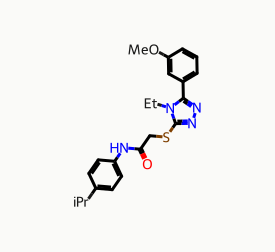 CCn1c(SCC(=O)Nc2ccc(C(C)C)cc2)nnc1-c1cccc(OC)c1